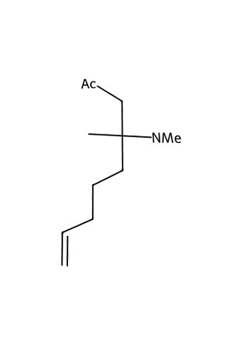 C=CCCCC(C)(CC(C)=O)NC